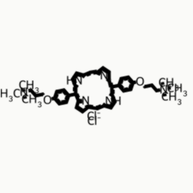 C[N+](C)(C)CCCOc1ccc(-c2c3nc(cc4ccc([nH]4)c(-c4ccc(OCCC[N+](C)(C)C)cc4)c4nc(cc5ccc2[nH]5)C=C4)C=C3)cc1.[Cl-].[Cl-]